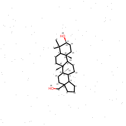 CC1(C)C2CC[C@]3(C)C(CCC4C5CCCC5(CO)CC[C@]43C)[C@@]2(C)CC[C@@H]1O